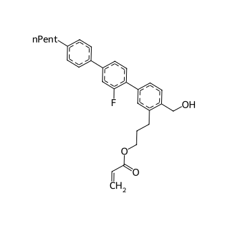 C=CC(=O)OCCCc1cc(-c2ccc(-c3ccc(CCCCC)cc3)cc2F)ccc1CO